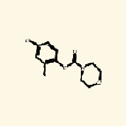 Cc1cc(Cl)ccc1OC(=O)N1CCOCC1